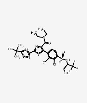 CCC(NS(=O)(=O)c1ccc(-c2sc(-c3nnc(C(C)(C)O)o3)nc2C(=O)N(CC)CC)c(Cl)c1Cl)C(F)(F)F